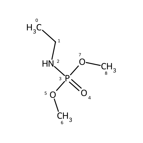 CCNP(=O)(OC)OC